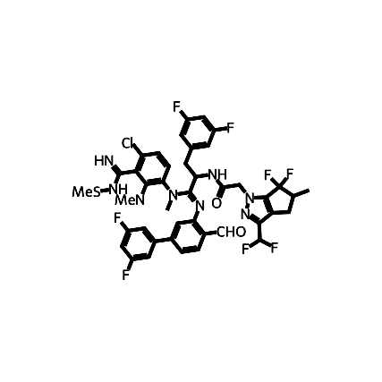 CNc1c(N(C)/C(=N\c2cc(-c3cc(F)cc(F)c3)ccc2C=O)C(Cc2cc(F)cc(F)c2)NC(=O)Cn2nc(C(F)F)c3c2C(F)(F)C(C)C3)ccc(Cl)c1C(=N)NSC